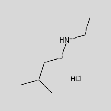 CCNCCC(C)C.Cl